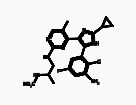 Cc1cnc(NCC(C)NC(=O)O)nc1-c1nc(C2CC2)[nH]c1-c1cc(F)cc(N)c1Cl